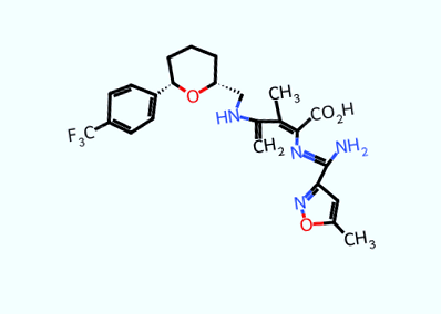 C=C(NC[C@H]1CCC[C@@H](c2ccc(C(F)(F)F)cc2)O1)/C(C)=C(\N=C(/N)c1cc(C)on1)C(=O)O